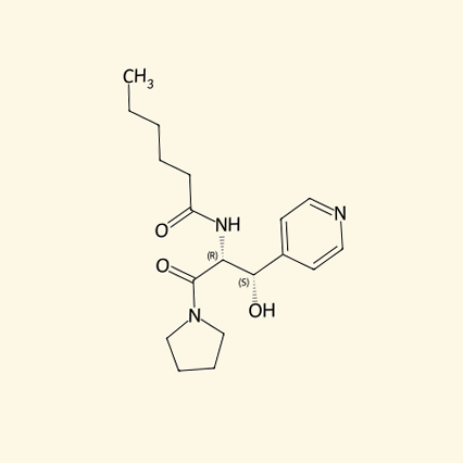 CCCCCC(=O)N[C@@H](C(=O)N1CCCC1)[C@@H](O)c1ccncc1